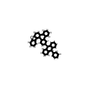 c1ccc(-c2c3ccccc3c(-c3ccc4c(c3)c3ccccc3c3ccc5oc6ccccc6c5c34)c3ccccc23)cc1